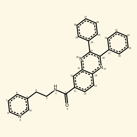 O=C(NCCc1cccnc1)c1ccc2nc(-c3ccccc3)c(-c3ccccc3)nc2c1